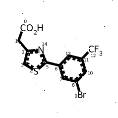 O=C(O)Cc1csc(-c2cc(Br)cc(C(F)(F)F)c2)n1